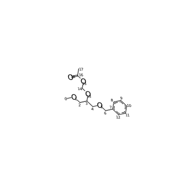 COCC(COCc1ccccc1)OCOC(C)=O